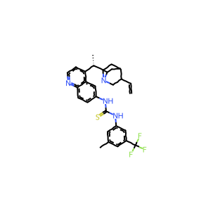 C=CC1CN2CCC1CC2[C@@H](C)c1ccnc2ccc(NC(=S)Nc3cc(C)cc(C(F)(F)F)c3)cc12